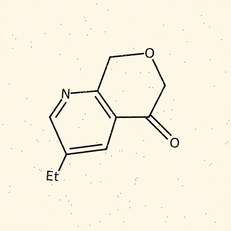 CCc1cnc2c(c1)C(=O)COC2